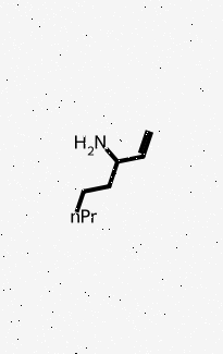 [CH2]CCCCC(N)C=C